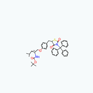 CC(C)C[C@@H](COc1ccc(CC2SC(=O)N(C(c3ccccc3)(c3ccccc3)c3ccccc3)C2=O)cc1)NC(=O)OC(C)(C)C